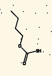 CCCCOC(=O)S